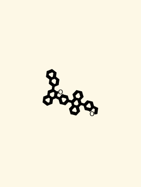 c1ccc2cc(-c3cc4ccccc4c4c3oc3cc(-c5c6ccccc6c(-c6ccc7ccoc7c6)c6ccccc56)ccc34)ccc2c1